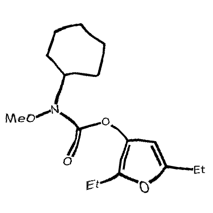 CCc1cc(OC(=O)N(OC)C2CCCCC2)c(CC)o1